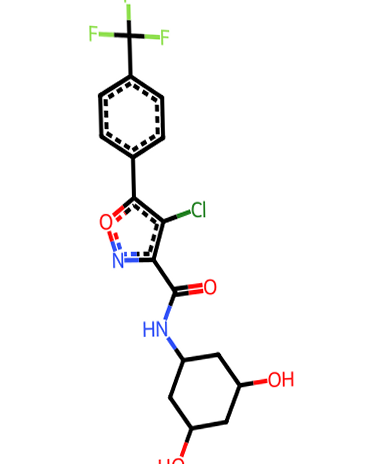 O=C(NC1CC(O)CC(O)C1)c1noc(-c2ccc(C(F)(F)F)cc2)c1Cl